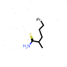 CC(C)CCCC(C)C(N)=S